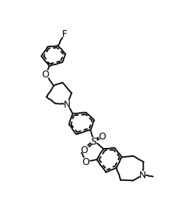 COc1cc2c(cc1S(=O)(=O)c1ccc(N3CCC(Oc4ccc(F)cc4)CC3)cc1)CCN(C)CC2